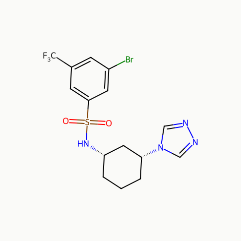 O=S(=O)(N[C@H]1CCC[C@@H](n2cnnc2)C1)c1cc(Br)cc(C(F)(F)F)c1